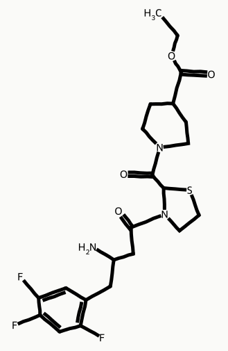 CCOC(=O)C1CCN(C(=O)C2SCCN2C(=O)CC(N)Cc2cc(F)c(F)cc2F)CC1